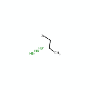 Br.Br.Br.CC[CH2][Zr]